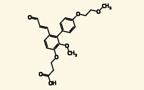 COCCOc1ccc(-c2c(C=CC=O)ccc(OCCC(=O)O)c2OC)cc1